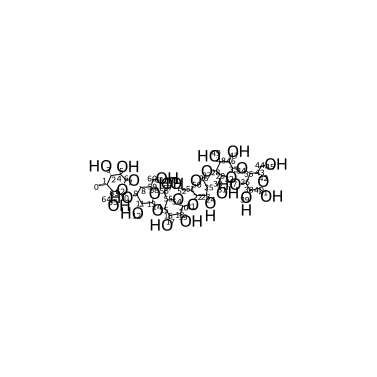 C[C@H]1[C@H](O)[C@@H](O)C(O[C@H]2[C@H](O)[C@@H](O)C(O[C@H]3[C@H](O)[C@@H](O)C(O[C@H]4[C@H](O)CC(O[C@@H]5C(CO)OC(O[C@H]6[C@H](O)[C@@H](O)C(O)O[C@@H]6CO)[C@H](O)[C@H]5O)O[C@@H]4CO)O[C@@H]3CO)O[C@@H]2CO)O[C@@H]1CO